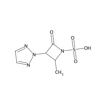 CC1C(n2nccn2)C(=O)N1S(=O)(=O)O